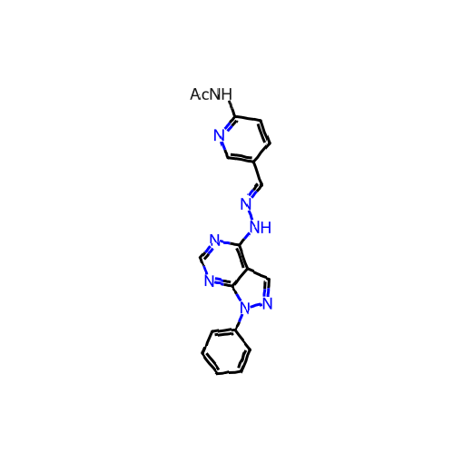 CC(=O)Nc1ccc(C=NNc2ncnc3c2cnn3-c2ccccc2)cn1